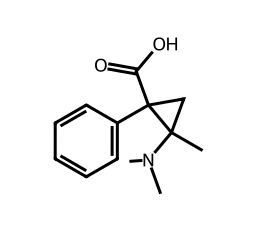 CN(C)C1(C)CC1(C(=O)O)c1ccccc1